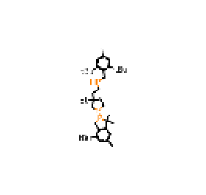 CCC1(CCPCc2c(C(C)(C)C)cc(C)cc2C(C)(C)C)CCP(P2Cc3c(C(C)(C)C)cc(C)cc3C2(C)C)C1